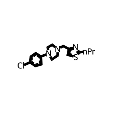 CCCc1nc(CN2CCN(c3ccc(Cl)cc3)CC2)cs1